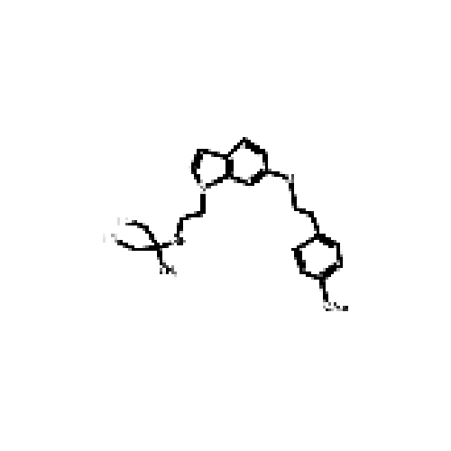 COc1ccc(CCOc2ccc3ccn(CCNC(C)(CO)CO)c3c2)cc1